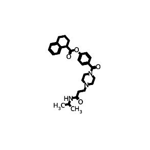 CC(C)NC(=O)CCN1CCN(C(=O)c2ccc(OC(=O)C3CCCc4ccccc43)cc2)CC1